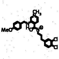 COc1ccc(CNC2=C(C(=O)[N+](=O)CCCc3ccc(Cl)c(Cl)c3)C=CN(C)C2)cc1